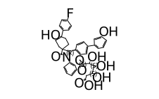 O=C(O)C1O[C@@H](Oc2cc(-c3cccc(O)c3)ccc2[C@H]2N(c3ccccc3)C(=O)C23CCC(O)(c2ccc(F)cc2)CC3)C(O)[C@@H](O)[C@@H]1O